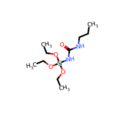 CCCNC(=O)N[Si](OCC)(OCC)OCC